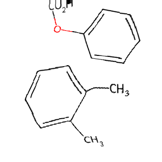 Cc1ccccc1C.O=C(O)Oc1ccccc1